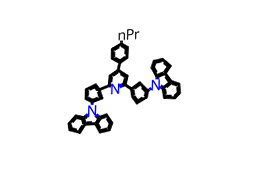 CCCc1ccc(-c2cc(-c3cccc(-n4c5ccccc5c5ccccc54)c3)nc(-c3cccc(-n4c5ccccc5c5ccccc54)c3)c2)cc1